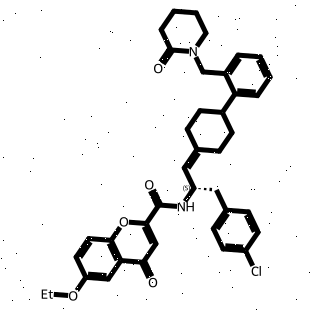 CCOc1ccc2oc(C(=O)N[C@H](C=C3CCC(c4ccccc4CN4CCCCC4=O)CC3)Cc3ccc(Cl)cc3)cc(=O)c2c1